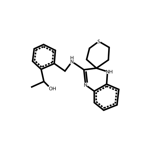 CC(O)c1ccccc1CNC1=Nc2ccccc2NC12CCSCC2